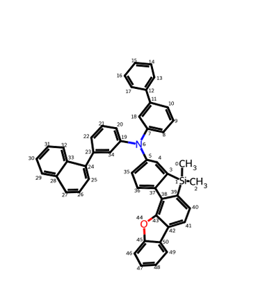 C[Si]1(C)c2cc(N(c3cccc(-c4ccccc4)c3)c3cccc(-c4cccc5ccccc45)c3)ccc2-c2c1ccc1c2oc2ccccc21